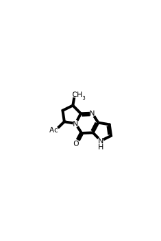 CC(=O)C1CC(C)c2nc3cc[nH]c3c(=O)n21